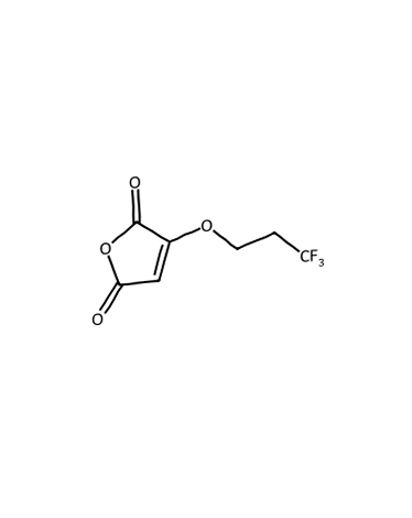 O=C1C=C(OCCC(F)(F)F)C(=O)O1